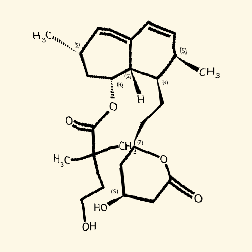 C[C@@H]1C=C2C=C[C@@H](C)[C@@H](CC[C@@H]3C[C@H](O)CC(=O)O3)[C@@H]2[C@H](OC(=O)C(C)(C)CCO)C1